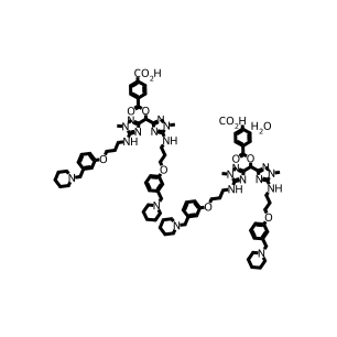 Cn1nc(C(OC(=O)c2ccc(C(=O)O)cc2)c2nc(NCCCOc3cccc(CN4CCCCC4)c3)n(C)n2)nc1NCCCOc1cccc(CN2CCCCC2)c1.Cn1nc(C(OC(=O)c2ccc(C(=O)O)cc2)c2nc(NCCCOc3cccc(CN4CCCCC4)c3)n(C)n2)nc1NCCCOc1cccc(CN2CCCCC2)c1.O